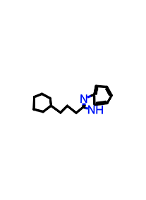 c1ccc2[nH]c(CCCC3CCCCC3)nc2c1